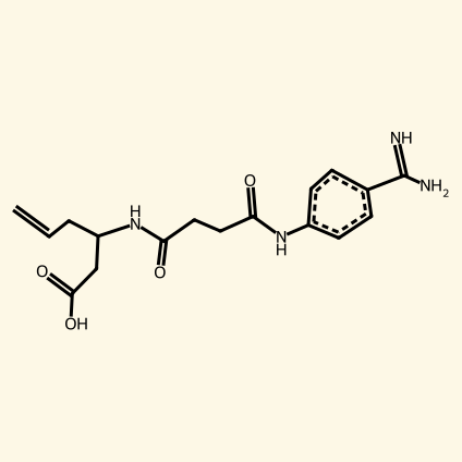 C=CCC(CC(=O)O)NC(=O)CCC(=O)Nc1ccc(C(=N)N)cc1